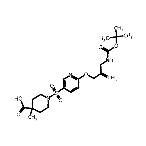 C=C(CNC(=O)OC(C)(C)C)COc1ccc(S(=O)(=O)N2CCC(C)(C(=O)O)CC2)cn1